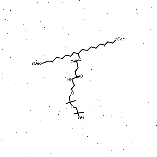 CCCCCCCCCCCCCCCCCCC(CCCCCCCCCCCCCCCCCC)OC(=O)CCC(=O)NCCOCC(C)(C)OCC(C)(C)O